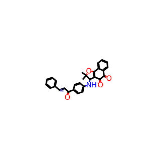 CC1(C)OC2=C(C(=O)C(=O)c3ccccc32)C1Nc1ccc(C(=O)/C=C/c2ccccc2)cc1